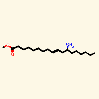 CCCCCCC(N)CC=CCCCCCCCC(=O)OC